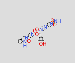 CNS(=O)(=O)N1CCC(N2CCN(C(=O)C(Cc3cc(C)c(O)c(C)c3)OC(=O)N3CCC(N4CCc5ccccc5NC4=O)CC3)CC2)CC1